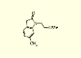 COCCN1C(=O)Cc2ccc(C)cc21